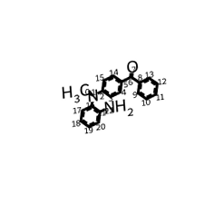 CN(c1ccc(C(=O)c2ccccc2)cc1)c1ccccc1N